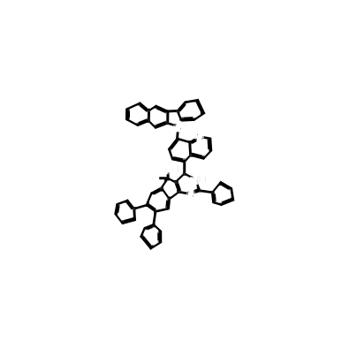 CC1(C)C2=C(N=C(c3ccccc3)NC2c2ccc(-n3c4ccccc4c4cc5ccccc5cc43)c3ncccc23)c2cc(-c3ccccc3)c(-c3ccccc3)cc21